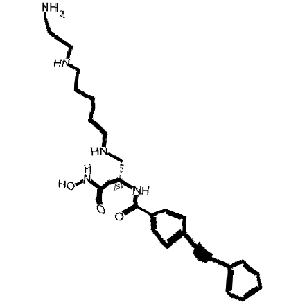 NCCNCCCCCNC[C@H](NC(=O)c1ccc(C#Cc2ccccc2)cc1)C(=O)NO